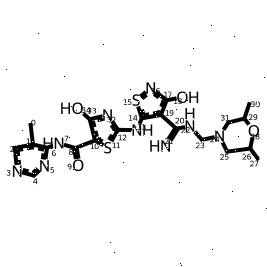 Cc1cncnc1NC(=O)c1sc(Nc2snc(O)c2C(=N)NCN2CC(C)OC(C)C2)nc1O